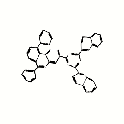 c1ccc(-c2nc3cc(-c4nc(-c5ccc6ccccc6c5)nc(-c5ccc6ccccc6c5)n4)ccc3c3c(-c4ccccc4)cccc23)cc1